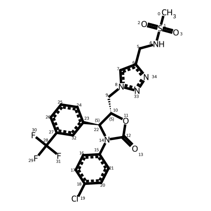 CS(=O)(=O)NCc1cn(C[C@@H]2OC(=O)N(c3ccc(Cl)cc3)[C@H]2c2cccc(C(F)(F)F)c2)nn1